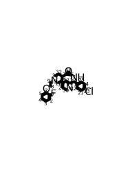 Fc1ccccc1OCCN1CCC(C2OC2NC(c2ccc(Cl)cc2)c2ccccn2)CC1